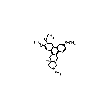 COc1ccc2c3c(c4cc(OC)c(OC)cc4c2c1)C[C@H]1CCN(P)CN1C3